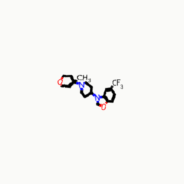 CC1(N2CCC(N3COc4ccc(C(F)(F)F)cc43)CC2)CCOCC1